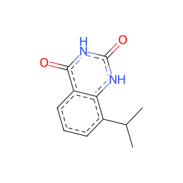 CC(C)c1cccc2c(=O)[nH]c(=O)[nH]c12